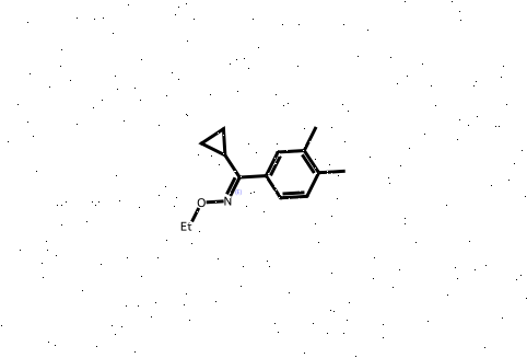 CCO/N=C(/c1ccc(C)c(C)c1)C1CC1